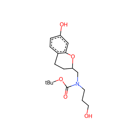 CC(C)(C)OC(=O)N(CCCO)CC1CCc2ccc(O)cc2O1